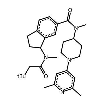 Cc1cc(N2CCC(N(C)C(=O)c3ccc4c(c3)C(N(C)C(=O)CC(C)(C)C)CC4)CC2)cc(C)n1